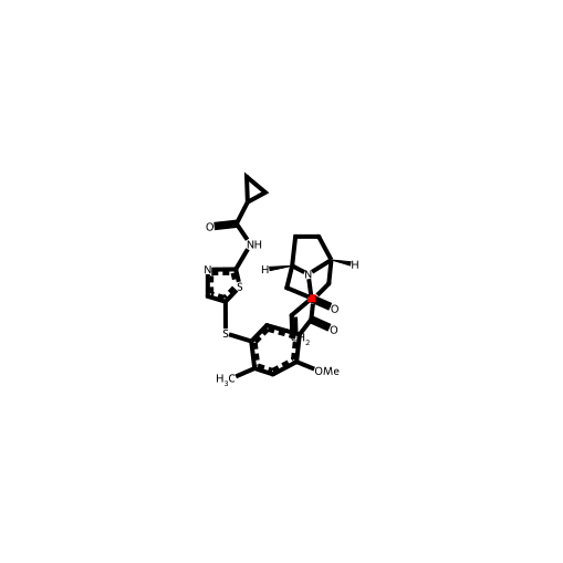 C=CC(=O)N1[C@@H]2CC[C@H]1CN(C(=O)c1cc(Sc3cnc(NC(=O)C4CC4)s3)c(C)cc1OC)C2